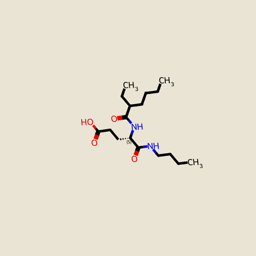 CCCCNC(=O)[C@H](CCC(=O)O)NC(=O)C(CC)CCCC